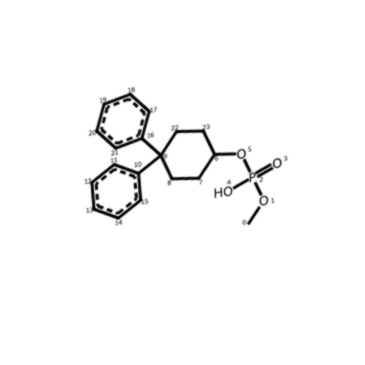 COP(=O)(O)OC1CCC(c2ccccc2)(c2ccccc2)CC1